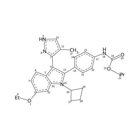 CCOc1ccc2c(-c3n[nH]cc3C)c(-c3ccc(NC(=O)OC(C)C)cc3)n(C3CCC3)c2c1